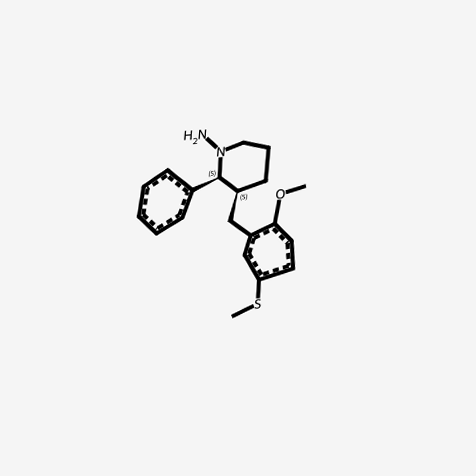 COc1ccc(SC)cc1C[C@@H]1CCCN(N)[C@@H]1c1ccccc1